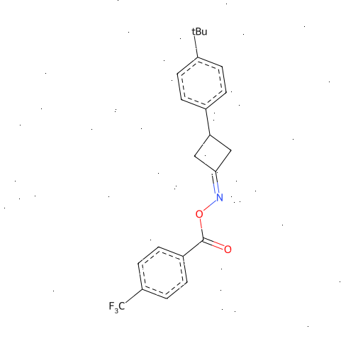 CC(C)(C)c1ccc(C2CC(=NOC(=O)c3ccc(C(F)(F)F)cc3)C2)cc1